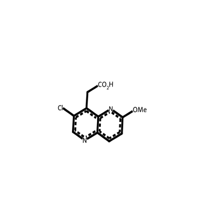 COc1ccc2ncc(Cl)c(CC(=O)O)c2n1